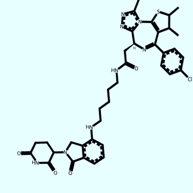 Cc1nnc2n1C1=C(C(c3ccc(Cl)cc3)=N[C@H]2CC(=O)NCCCCCNc2cccc3c2CN(C2CCC(=O)NC2=O)C3=O)C(C)C(C)S1